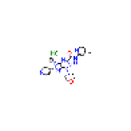 CCn1c(-c2ccncc2)nc2c(N3CCOCC3)nc(C(=O)Nc3cc(C)ccn3)nc21.Cl